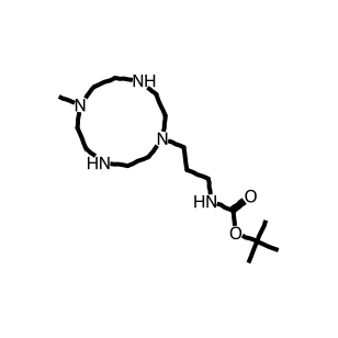 CN1CCNCCN(CCCNC(=O)OC(C)(C)C)CCNCC1